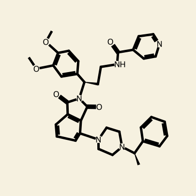 COc1ccc([C@@H](CCNC(=O)c2ccncc2)N2C(=O)c3cccc(N4CCN([C@H](C)c5ccccc5)CC4)c3C2=O)cc1OC